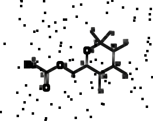 CCC(C)C(=O)OCC1OC(C)(C)C(C)C(C)C1C